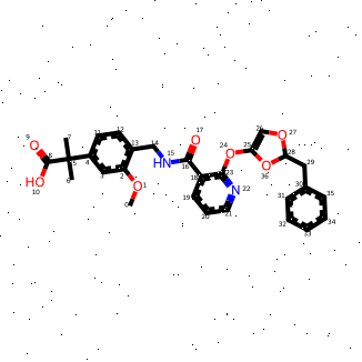 COc1cc(C(C)(C)C(=O)O)ccc1CNC(=O)c1cccnc1OC1=COC(Cc2ccccc2)O1